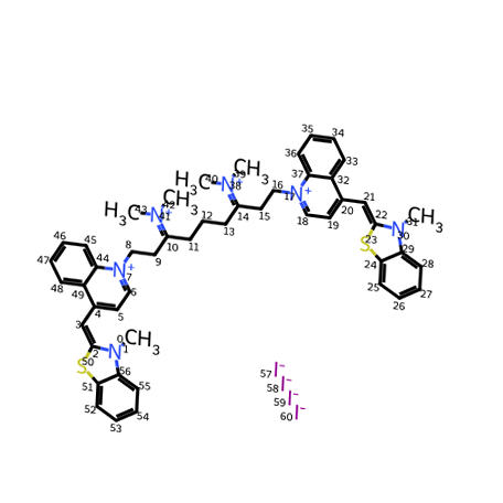 CN1C(=Cc2cc[n+](CCC(CCCC(CC[n+]3ccc(C=C4Sc5ccccc5N4C)c4ccccc43)=[N+](C)C)=[N+](C)C)c3ccccc23)Sc2ccccc21.[I-].[I-].[I-].[I-]